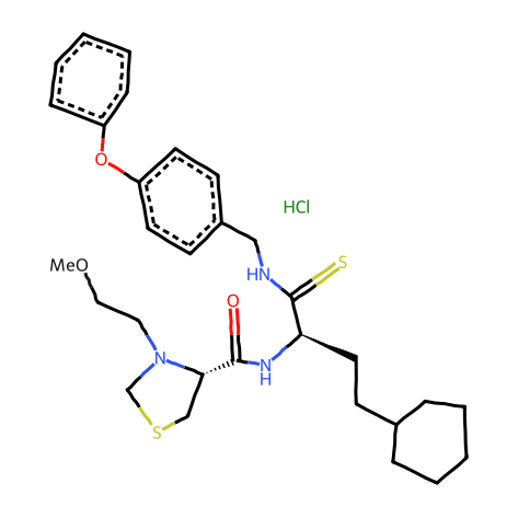 COCCN1CSC[C@H]1C(=O)N[C@H](CCC1CCCCC1)C(=S)NCc1ccc(Oc2ccccc2)cc1.Cl